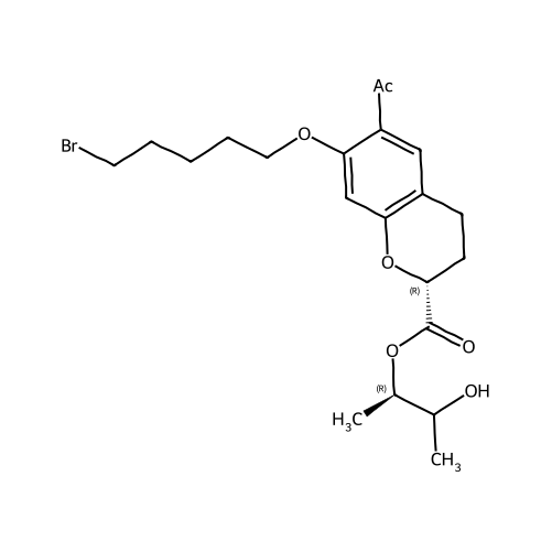 CC(=O)c1cc2c(cc1OCCCCCBr)O[C@@H](C(=O)O[C@H](C)C(C)O)CC2